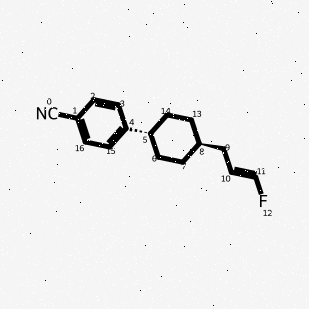 N#Cc1ccc([C@H]2CC[C@H](CC=CF)CC2)cc1